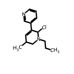 CCCN1CC(C)C=C(c2cccnc2)C1Cl